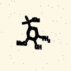 COc1cc(C(C)(C)C(C)(C)C)cc(P)c1O